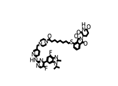 Cc1nc2c(F)cc(-c3nc(Nc4ccc(CN5CCN(C(=O)CCCCCCCSc6cccc7c6C(=O)N(C6CCC(=O)NC6=O)C7=O)CC5)cn4)ncc3F)cc2n1C(C)C